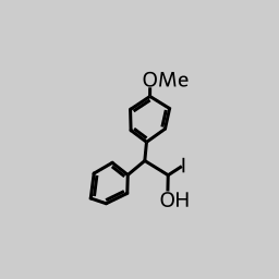 COc1ccc(C(c2ccccc2)C(O)I)cc1